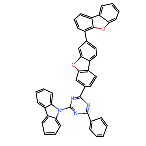 c1ccc(-c2nc(-c3ccc4c(c3)oc3cc(-c5cccc6c5oc5ccccc56)ccc34)nc(-n3c4ccccc4c4ccccc43)n2)cc1